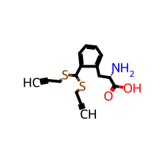 C#CCSC(SCC#C)c1ccccc1C[C@H](N)C(=O)O